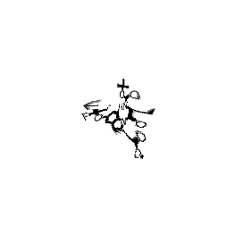 CC[C@H](NC(=O)OC(C)(C)C)C(=O)N1c2ccc(OC(F)(F)F)cc2C[C@@H]1C(=O)OC